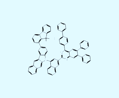 CC1(C)c2ccccc2-c2cccc(-c3ccc4c(c3)c3cc5ccccc5cc3n4-c3cc(-c4nc(-c5ccc(-c6ccccc6)cc5)c5cc(-c6ccccc6)c(-c6ccccc6)cc5n4)cc4ccccc34)c21